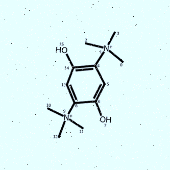 C[N+](C)(C)c1cc(O)c([N+](C)(C)C)cc1O